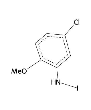 COc1ccc(Cl)cc1NI